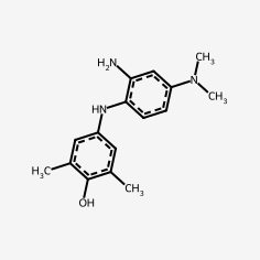 Cc1cc(Nc2ccc(N(C)C)cc2N)cc(C)c1O